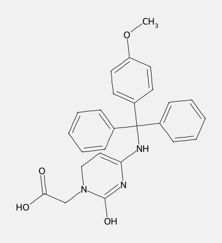 COc1ccc(C(NC2=CCN(CC(=O)O)C(O)=N2)(c2ccccc2)c2ccccc2)cc1